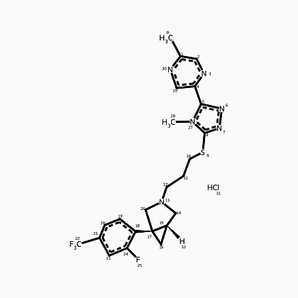 Cc1cnc(-c2nnc(SCCCN3C[C@@H]4C[C@]4(c4ccc(C(F)(F)F)cc4F)C3)n2C)cn1.Cl